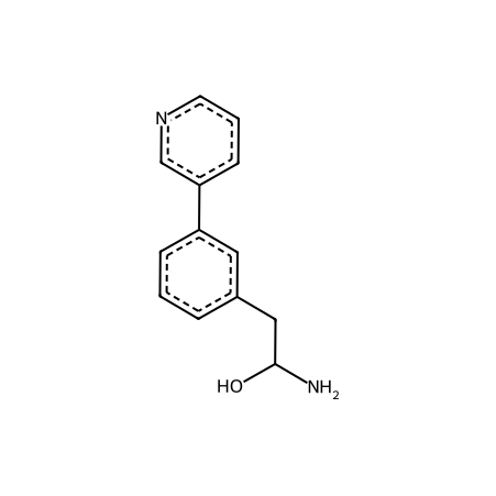 NC(O)Cc1cccc(-c2cccnc2)c1